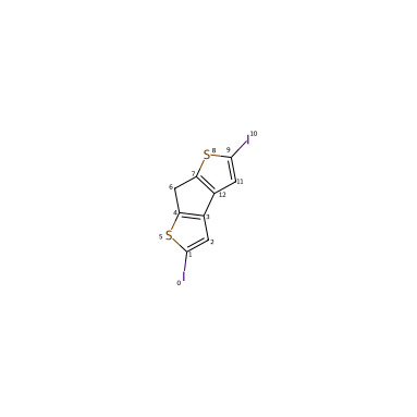 Ic1cc2c(s1)Cc1sc(I)cc1-2